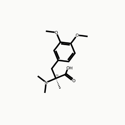 COc1ccc(C[C@@](C)(C(=O)O)N(C)C)cc1OC